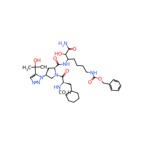 CC(C)(O)c1cnnn1[C@H]1C[C@@H](C(=O)NC(CCCCNC(=O)OCc2ccccc2)C(O)C(N)=O)N(C(=O)[C@@H](CC2CCCCC2)NC(=O)O)C1